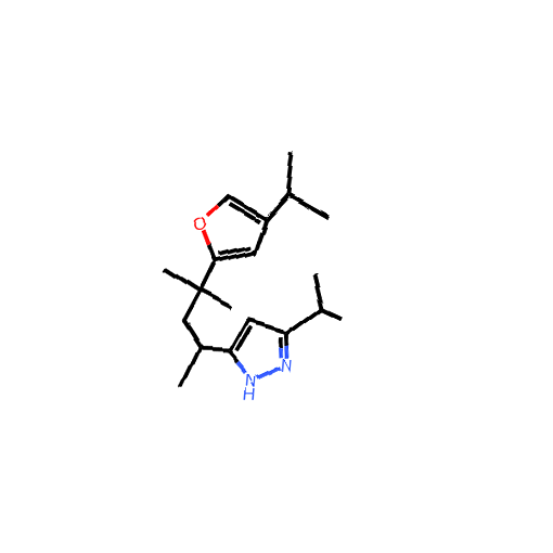 CC(C)c1coc(C(C)(C)CC(C)c2cc(C(C)C)n[nH]2)c1